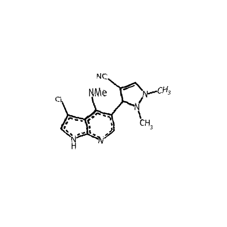 CNc1c(C2C(C#N)=CN(C)N2C)cnc2[nH]cc(Cl)c12